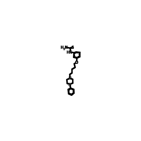 NC(=S)Nc1cccc(OCCCCCN2CCN(c3ccccc3)CC2)c1